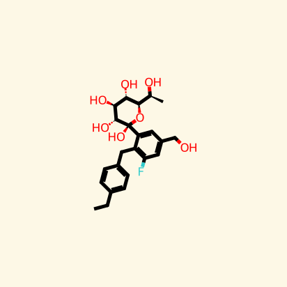 CCc1ccc(Cc2c(F)cc(CO)cc2[C@@]2(O)O[C@H]([C@H](C)O)[C@@H](O)[C@H](O)[C@H]2O)cc1